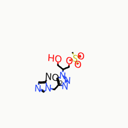 CS(=O)(=O)OCC(CO)n1cc(Cn2cncc2[N+](=O)[O-])nn1